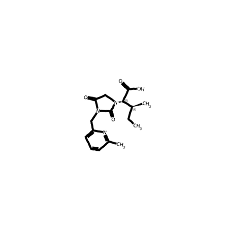 CC[C@H](C)[C@@H](C(=O)O)N1CC(=O)N(Cc2cccc(C)n2)C1=O